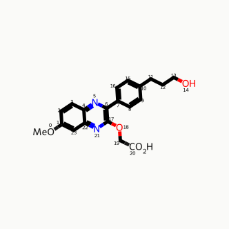 COc1ccc2nc(-c3ccc(CCCO)cc3)c(OCC(=O)O)nc2c1